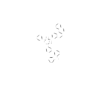 c1ccc(-c2nc(-c3cccc(-c4cccc5oc6ccccc6c45)c3)nc(-c3ccc4c(ccc5ccc6ccccc6c54)c3)n2)cc1